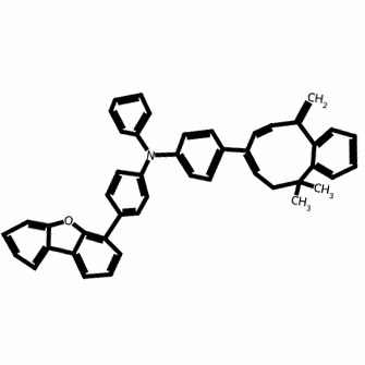 C=C1/C=C\C(c2ccc(N(c3ccccc3)c3ccc(-c4cccc5c4oc4ccccc45)cc3)cc2)=C/CC(C)(C)c2ccccc21